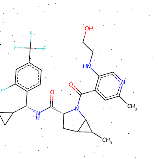 Cc1cc(C(=O)N2C3C(C)C3C[C@@H]2C(=O)N[C@@H](c2ccc(C(F)(F)F)cc2F)C2CC2)c(NCCO)cn1